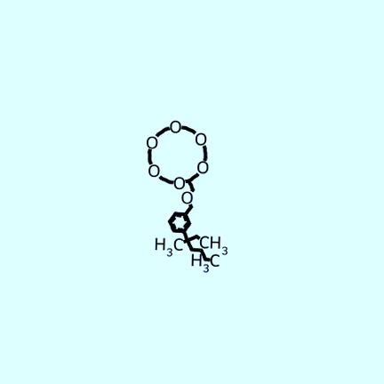 CCCCC(C)(CC)c1cccc(COCC2COCCOCCOCCOCCOCCO2)c1